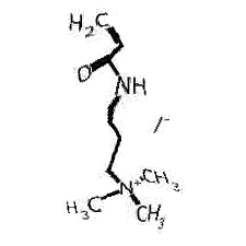 C=CC(=O)NCCC[N+](C)(C)C.[I-]